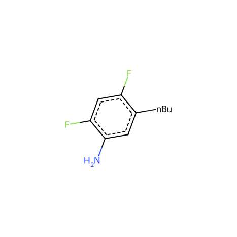 CCCCc1cc(N)c(F)cc1F